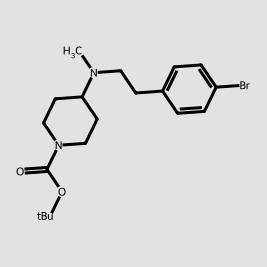 CN(CCc1ccc(Br)cc1)C1CCN(C(=O)OC(C)(C)C)CC1